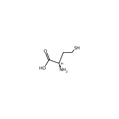 N[C@H](CCS)C(=O)O